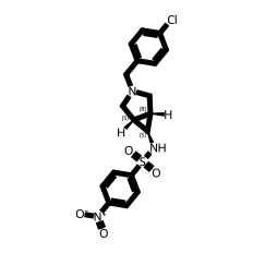 O=[N+]([O-])c1ccc(S(=O)(=O)N[C@H]2[C@@H]3CN(Cc4ccc(Cl)cc4)C[C@@H]32)cc1